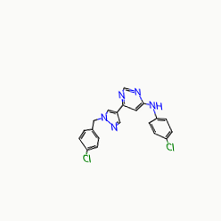 Clc1ccc(Cn2cc(-c3cc(Nc4ccc(Cl)cc4)ncn3)cn2)cc1